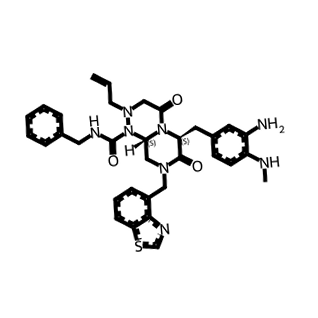 C=CCN1CC(=O)N2[C@@H](Cc3ccc(NC)c(N)c3)C(=O)N(Cc3cccc4scnc34)C[C@@H]2N1C(=O)NCc1ccccc1